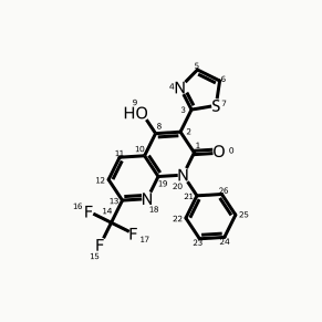 O=c1c(-c2nccs2)c(O)c2ccc(C(F)(F)F)nc2n1-c1ccccc1